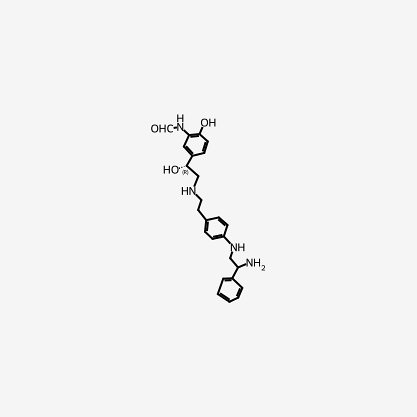 NC(CNc1ccc(CCNC[C@H](O)c2ccc(O)c(NC=O)c2)cc1)c1ccccc1